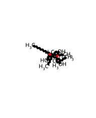 CCCCCCCCCCCCCC(CC(C)c1cc(CCCC)c(O)cc1C)(c1cc(CCCC)c(O)cc1C)c1cc(CCCC)c(O)cc1C